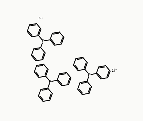 [Cl-].[Ir+].c1ccc(P(c2ccccc2)c2ccccc2)cc1.c1ccc(P(c2ccccc2)c2ccccc2)cc1.c1ccc(P(c2ccccc2)c2ccccc2)cc1